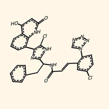 O=C(/C=C/c1cc(Cl)ccc1-n1cnnn1)NC(Cc1ccccc1)c1nc(-c2cccc3c(O)cc(=O)[nH]c23)c(Cl)[nH]1